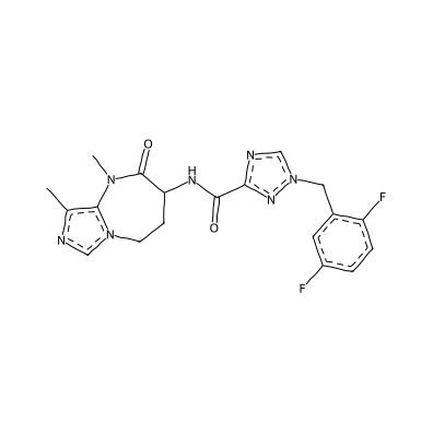 Cc1ncn2c1N(C)C(=O)C(NC(=O)c1ncn(Cc3cc(F)ccc3F)n1)CC2